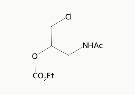 CCOC(=O)OC(CCl)CNC(C)=O